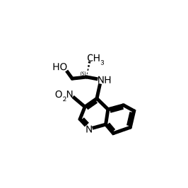 C[C@@H](CO)Nc1c([N+](=O)[O-])cnc2ccccc12